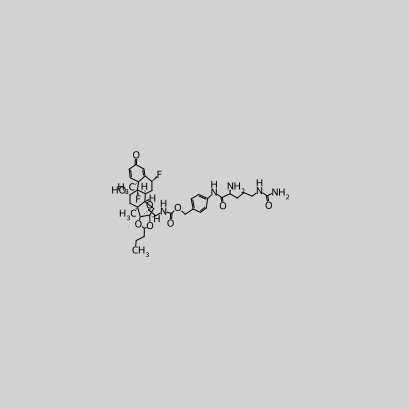 CCCC1O[C@@H]2C[C@H]3[C@@H]4C[C@H](F)C5=CC(=O)C=C[C@]5(C)[C@@]4(F)[C@@H](O)C[C@]3(C)[C@]2(C(=O)CNC(=O)OCc2ccc(NC(=O)[C@@H](N)CCCNC(N)=O)cc2)O1